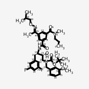 CCCN(C)C(=O)c1cc(C(=O)N[C@@H](Cc2cc(F)cc(F)c2)[C@H](O)CN(Cc2cccc(OC)c2)C(=O)OC(C)(C)C)cc(/C(C)=N/OCC(C)C)c1